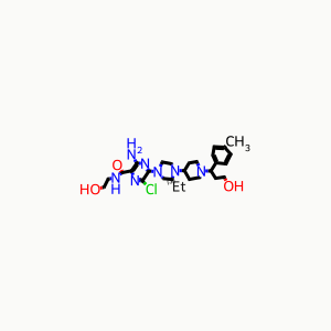 CC[C@H]1CN(c2nc(N)c(C(=O)NCCO)nc2Cl)CCN1C1CCN(C(CCO)c2ccc(C)cc2)CC1